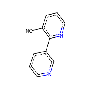 N#Cc1cccnc1-c1cccnc1